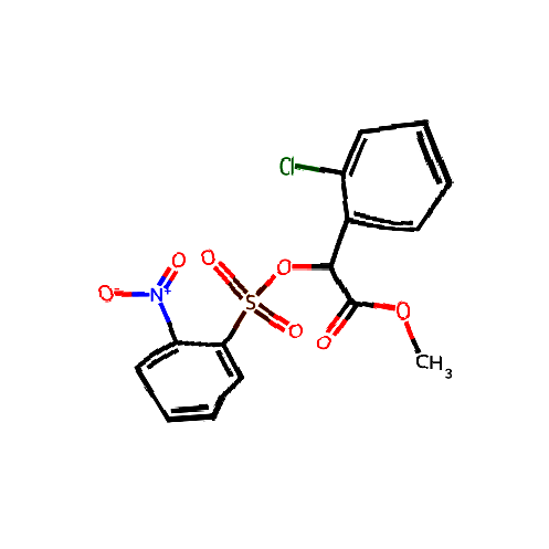 COC(=O)C(OS(=O)(=O)c1ccccc1[N+](=O)[O-])c1ccccc1Cl